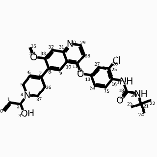 C=CC(O)N1CC=C(c2cc3c(Oc4ccc(NC(=O)NC(C)(C)C)c(Cl)c4)ccnc3cc2OC)CC1